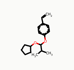 C=Cc1ccc(OC(OC2CCCC2)C(C)C)cc1